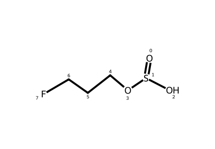 O=S(O)OCCCF